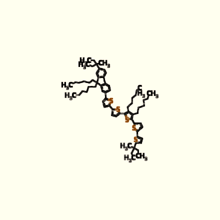 CCCCCCc1c(-c2ccc(-c3ccc(-c4ccc5c(c4)C(CCCCCC)(CCCCCC)c4cc(C(C)(CC)CC)ccc4-5)s3)s2)sc(-c2ccc(-c3ccc(C(C)(CC)CC)s3)s2)c1CCCCCC